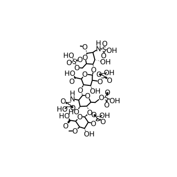 COC1C(C(=O)O)O[C@@H](O[C@H]2C(COS(=O)(=O)O)O[C@@H](O[C@H]3C(C(=O)O)O[C@@H](O[C@@H]4C(COS(=O)(=O)O)O[C@H](OC)C(NS(=O)(=O)O)[C@@H]4O)C(OS(=O)(=O)O)[C@@H]3O)C(NS(=O)(=O)O)[C@@H]2O)C(OS(=O)(=O)O)[C@@H]1O